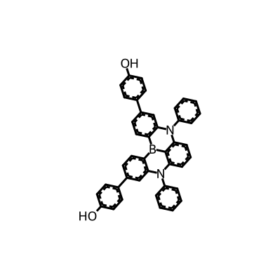 Oc1ccc(-c2ccc3c(c2)N(c2ccccc2)c2cccc4c2B3c2ccc(-c3ccc(O)cc3)cc2N4c2ccccc2)cc1